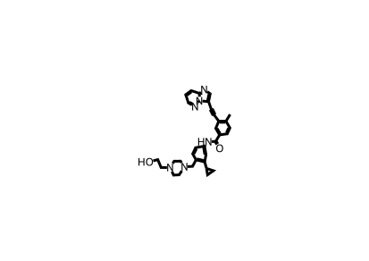 Cc1ccc(C(=O)Nc2ccc(CN3CCN(CCO)CC3)c(C3CC3)c2)cc1C#Cc1cnc2cccnn12